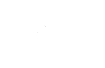 CC(C)c1cc2nccn2cc1C(C)C